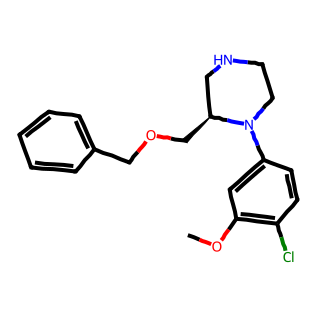 COc1cc(N2CCNC[C@@H]2COCc2ccccc2)ccc1Cl